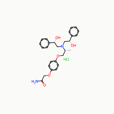 C[C@H](COc1ccc(OCC(N)=O)cc1)N(C[C@@H](O)c1ccccc1)C[C@@H](O)c1ccccc1.Cl